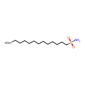 CCCCCCCCCCCCCCCCCCCCCCS(N)(=O)=O